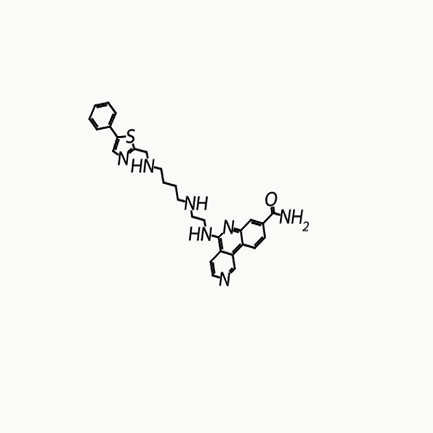 NC(=O)c1ccc2c(c1)nc(NCCNCCCCNCc1ncc(-c3ccccc3)s1)c1ccncc12